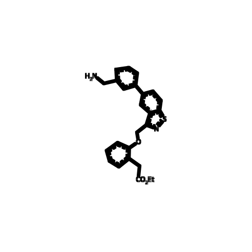 CCOC(=O)Cc1ccccc1OCc1nsc2ccc(-c3cccc(CN)c3)cc12